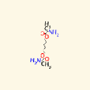 CC(N)C(=O)OCCCCCCOC(=O)C(C)N